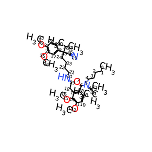 CCCCCN(C(=O)c1ccc(OC)c(OC)c1CCNCCCCC(C#N)(c1ccc(OC)c(OC)c1)C(C)C)C(C)(C)C